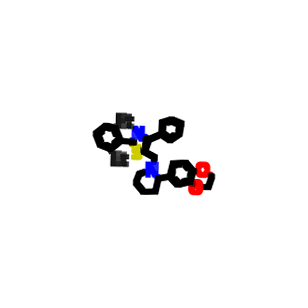 CCc1cccc(CC)c1-c1nc(-c2ccccc2)c(CN2CCCCC2c2ccc3c(c2)OCCO3)s1